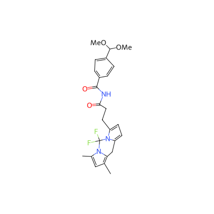 COC(OC)c1ccc(C(=O)NC(=O)CCc2ccc3n2C(F)(F)n2c(C)cc(C)c2C3)cc1